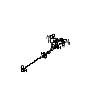 CN[C@@H](CCCCNC(=O)COCCOCCNC(=O)CCCCCCCCCCCCCCCCC(=O)O)C(=O)CN[C@@H](CCC(=O)O)C(N)=O